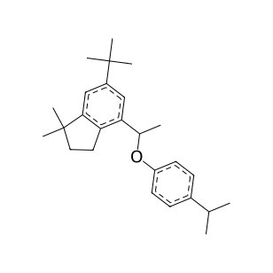 CC(C)c1ccc(OC(C)c2cc(C(C)(C)C)cc3c2CCC3(C)C)cc1